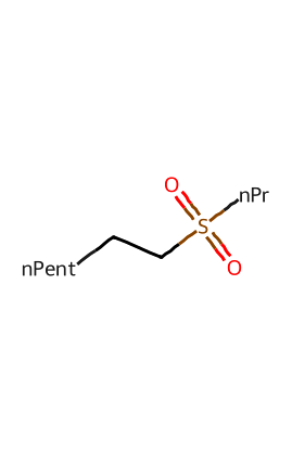 CCCCCCCS(=O)(=O)CCC